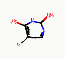 CCC1=C(O)[N]C(O)N=C1